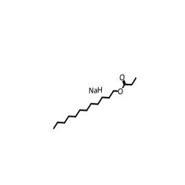 CCCCCCCCCCCCOC(=O)CC.[NaH]